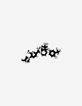 COc1nc(-c2nnc3n2CCCC3(Oc2ccc(Cl)c(C(F)(F)F)c2)C(C)(C)O)ccc1-n1cnc(C)c1